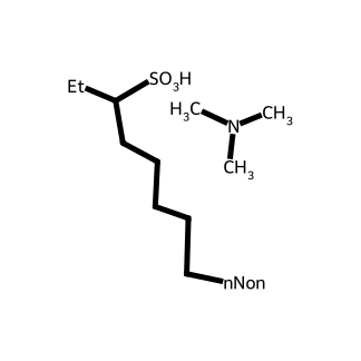 CCCCCCCCCCCCCCC(CC)S(=O)(=O)O.CN(C)C